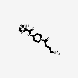 NCCCC(=O)N1CCC(NC(=O)c2ncn[nH]2)CC1